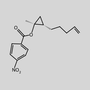 C=CCCC[C@H]1C[C@]1(C)OC(=O)c1ccc([N+](=O)[O-])cc1